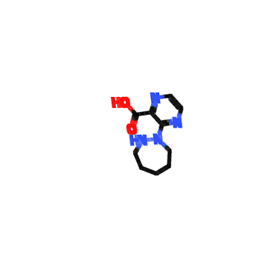 O=C(O)c1nccnc1N1CCCCCN1